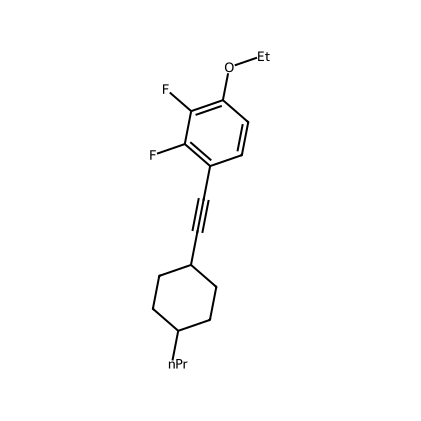 CCCC1CCC(C#Cc2ccc(OCC)c(F)c2F)CC1